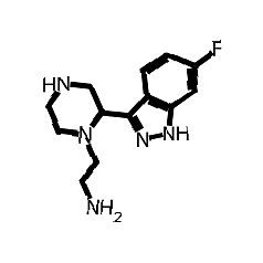 NCCN1CCNCC1c1n[nH]c2cc(F)ccc12